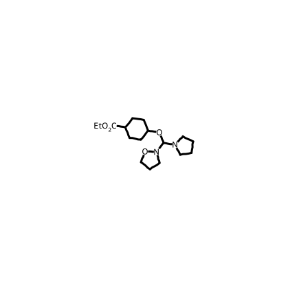 CCOC(=O)C1CCC(OC(N2CCCC2)N2CCCO2)CC1